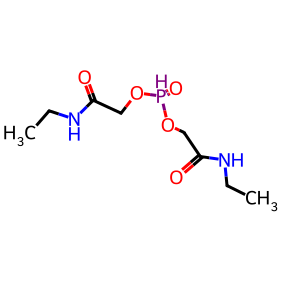 CCNC(=O)CO[PH](=O)OCC(=O)NCC